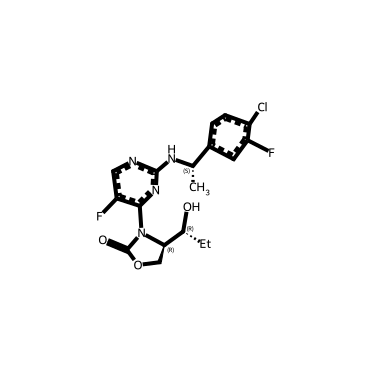 CC[C@@H](O)[C@H]1COC(=O)N1c1nc(N[C@@H](C)c2ccc(Cl)c(F)c2)ncc1F